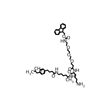 CC(C)Cc1ccc(CCCC(=O)NCCCCC(C)NC(=O)C(CCCCN)NC(=O)CCOCCOCCOCCNC(=O)OCC2c3ccccc3-c3ccccc32)cc1